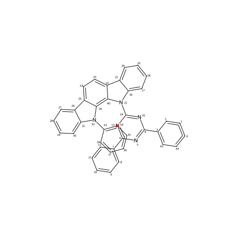 C1=C=CC(c2nc(-c3ccccc3)nc(-n3c4ccccc4c4ccc5c6ccccc6n(-c6ccccc6)c5c43)n2)=CC=1